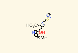 COc1ccc2nccc([C@@H](O)CCC3CCN(CCCSc4ncccn4)CC3CCC(=O)O)c2c1